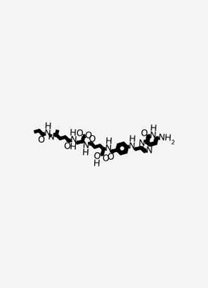 CCC(=O)N/N=C(\C)CCC(=O)NCC(NC(=O)CCC(NC(=O)c1ccc(NCc2cnc3cc(N)[nH]c(=O)c3n2)cc1)C(=O)O)C(=O)O